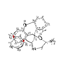 NC1CN=C(c2cccnc2)C2(O1)c1ccccc1Oc1ccccc12